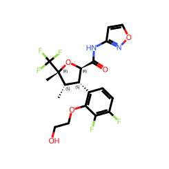 C[C@H]1[C@@H](c2ccc(F)c(F)c2OCCO)[C@H](C(=O)Nc2ccon2)O[C@@]1(C)C(F)(F)F